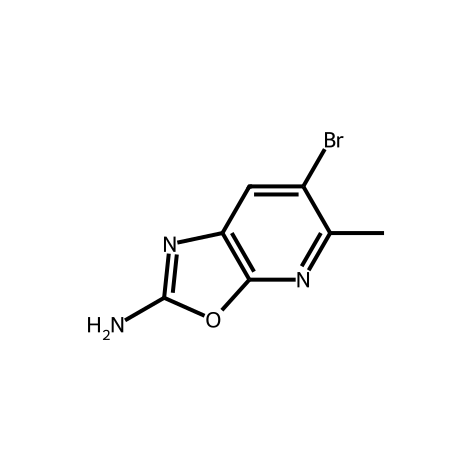 Cc1nc2oc(N)nc2cc1Br